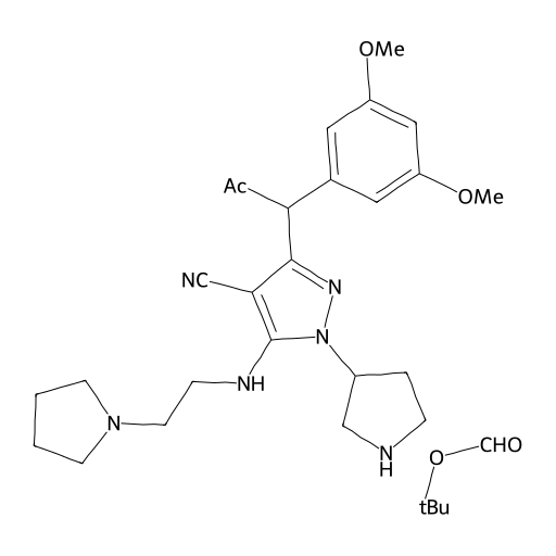 CC(C)(C)OC=O.COc1cc(OC)cc(C(C(C)=O)c2nn(C3CCNC3)c(NCCN3CCCC3)c2C#N)c1